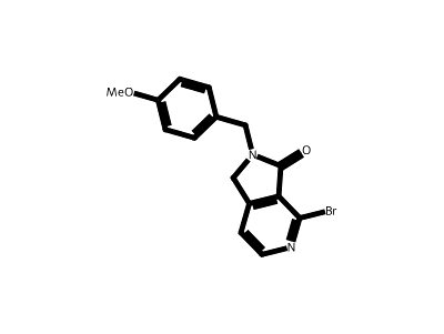 COc1ccc(CN2Cc3ccnc(Br)c3C2=O)cc1